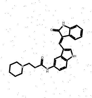 O=C(CCN1CCCCC1)Nc1ccc2[nH]cc(/C=C3/C(=O)Nc4ccccc43)c2c1